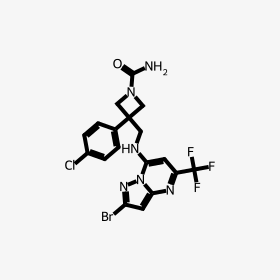 NC(=O)N1CC(CNc2cc(C(F)(F)F)nc3cc(Br)nn23)(c2ccc(Cl)cc2)C1